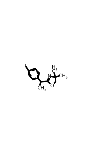 CC(C1=NC(C)(C)CO1)c1ccc(I)cc1